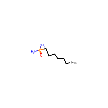 CCCCCCCCCCCCP(N)(N)=O